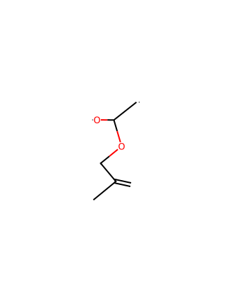 [CH2]C([O])OCC(=C)C